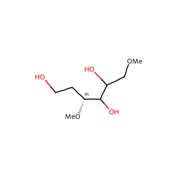 COCC(O)C(O)[C@@H](CCO)OC